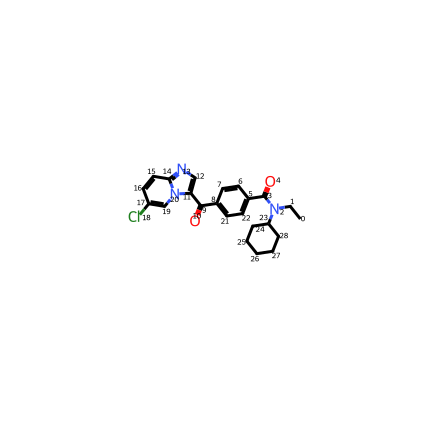 CCN(C(=O)c1ccc(C(=O)c2cnc3ccc(Cl)cn23)cc1)C1CCCCC1